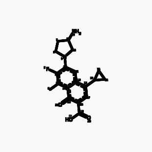 Cc1c(F)c(N2CCC(N)C2)cc2c(C3CC3)cc(C(=O)O)c(=O)n12